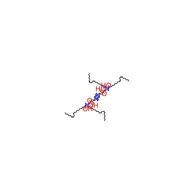 CCCCC/C=C\C/C=C\CCCCCCC(O)CN(CCC(=O)SCCN1CC(C)N(CCSC(=O)CCN(CC(O)CCCCCC/C=C\C/C=C\CCCCC)CC(O)CCCCCC/C=C\C/C=C\CCCCC)CC1C)CC(O)CCCCCC/C=C\C/C=C\CCCCC